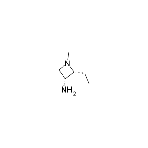 CC[C@@H]1[C@H](N)CN1C